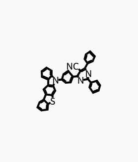 N#Cc1c(-c2ccccc2)nc(-c2ccccc2)nc1-c1ccc(-n2c3ccccc3c3cc4c(cc32)sc2ccccc24)cc1